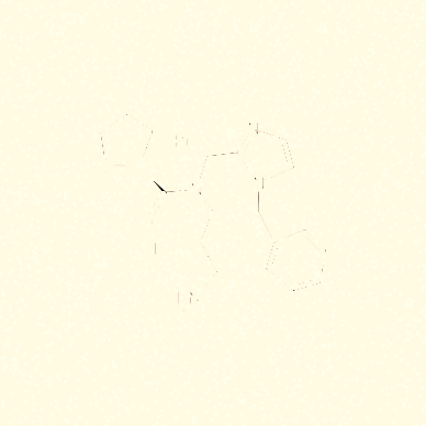 CC(C)(C)[C@H](c1nccn1Cc1ccccc1)N(C[C@@H](F)CN)C(=O)[C@@H]1CCCO1